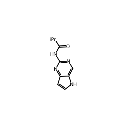 CC(C)C(=O)Nc1ncc2[nH]ccc2n1